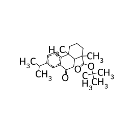 CC(C)c1ccc2c(c1)C(=O)CC1C(C)(C(=O)OC(C)(C)C)CCCC21C